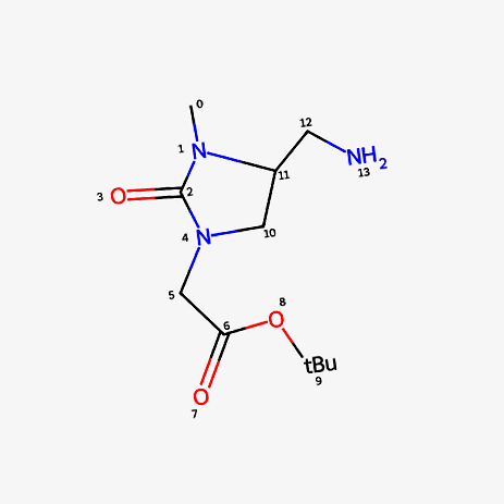 CN1C(=O)N(CC(=O)OC(C)(C)C)CC1CN